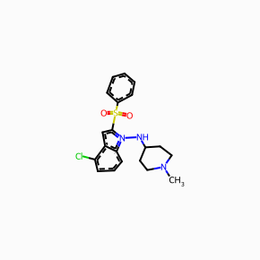 CN1CCC(Nn2c(S(=O)(=O)c3ccccc3)cc3c(Cl)cccc32)CC1